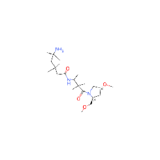 COC[C@@H]1C[C@@H](OC)CN1C(=O)C(C)(C)C(C)NC(=O)CC(C)(C)CC(C)(C)N